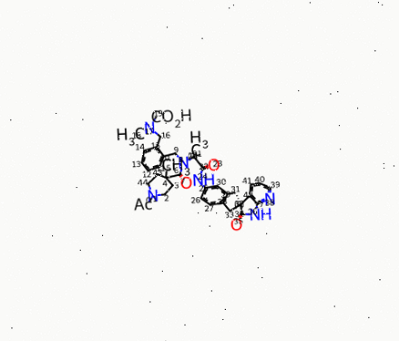 CC(=O)N1CCC(C)(C(=O)N(Cc2ccccc2CN(C)C(=O)O)[C@H](C)C(=O)Nc2ccc3c(c2)C[C@@]2(C3)C(=O)Nc3ncccc32)CC1